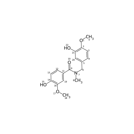 COc1ccc(CN(C)C(=O)c2ccc(O)c(OC)c2)cc1O